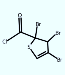 O=C(Cl)C1(Br)SC=C(Br)C1Br